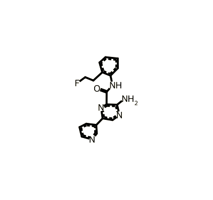 Nc1ncc(-c2cccnc2)nc1C(=O)Nc1ccccc1CCF